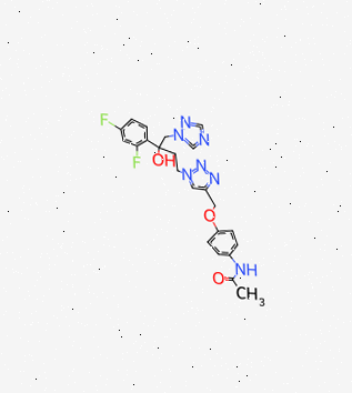 CC(=O)Nc1ccc(OCc2cn(CCC(O)(Cn3cncn3)c3ccc(F)cc3F)nn2)cc1